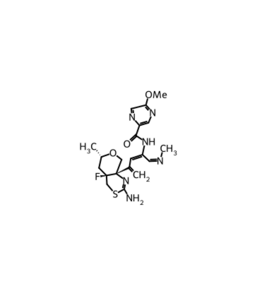 C=C(/C=C(\C=N/C)NC(=O)c1cnc(OC)cn1)[C@]12CO[C@@H](C)C[C@@]1(F)CSC(N)=N2